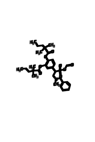 CCCC(C)(C)C(=O)Oc1ccc(C(CN(C)Cc2ccccc2)S(=O)(=O)OC=O)cc1OC(=O)C(C)(C)CCC